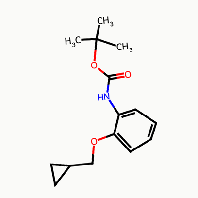 CC(C)(C)OC(=O)Nc1ccccc1OCC1CC1